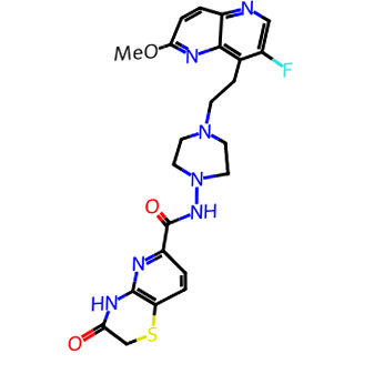 COc1ccc2ncc(F)c(CCN3CCN(NC(=O)c4ccc5c(n4)NC(=O)CS5)CC3)c2n1